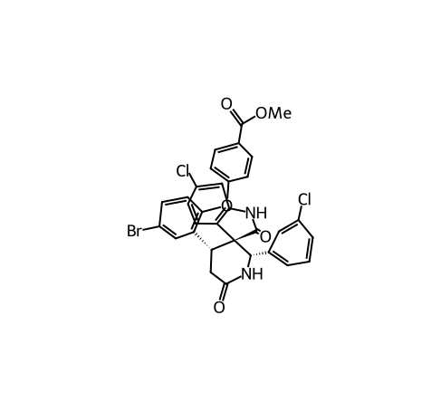 COC(=O)c1ccc(Oc2ccc(Br)cc2[C@H]2CC(=O)N[C@@H](c3cccc(Cl)c3)[C@]23C(=O)Nc2cc(Cl)ccc23)cc1